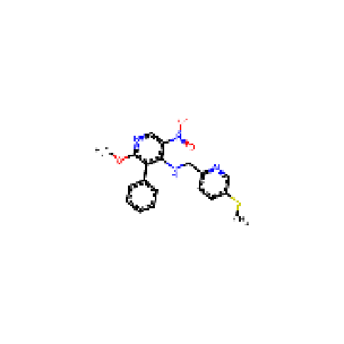 COc1ncc([N+](=O)[O-])c(NCc2ccc(SC)cn2)c1-c1ccccc1